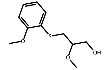 COc1ccccc1SCC(CO)OC